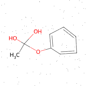 CC(O)(O)Oc1ccccc1